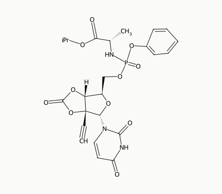 C#C[C@@]12OC(=O)O[C@@H]1[C@@H](COP(=O)(N[C@@H](C)C(=O)OC(C)C)Oc1ccccc1)O[C@@H]2n1ccc(=O)[nH]c1=O